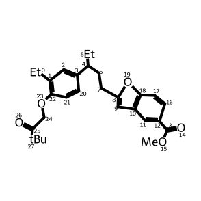 CCc1cc(C(CC)CCc2cc3cc(C(=O)OC)ccc3o2)ccc1OCC(=O)C(C)(C)C